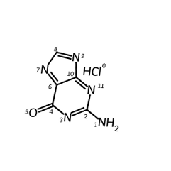 Cl.NC1=NC(=O)C2=NC=NC2=N1